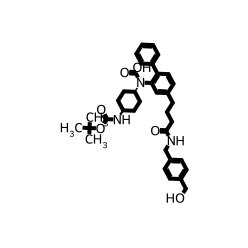 CC(C)(C)OC(=O)N[C@H]1CC[C@H](N(C(=O)O)c2cc(CCCC(=O)NCc3ccc(CO)cc3)ccc2-c2ccccc2)CC1